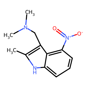 Cc1[nH]c2cccc([N+](=O)[O-])c2c1CN(C)C